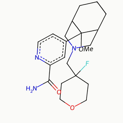 COC1(c2ccnc(C(N)=O)c2)C2CCCC1CN(CC1(F)CCOCC1)C2